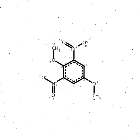 COc1cc([N+](=O)[O-])c(OC)c([N+](=O)[O-])c1